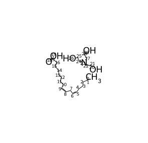 CCCCC/C=C\C/C=C\CCCCCCCC(=O)O.OCCN(CCO)CCO